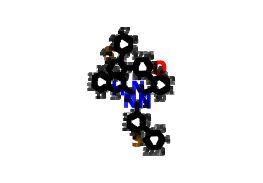 N/C(=N\C(=N/Cc1ccc2ccccc2c1)c1ccc2sc3ccccc3c2c1)c1cccc2oc3ccc(-c4cccc5sc6ccccc6c45)cc3c12